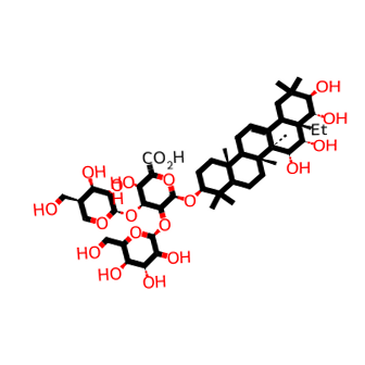 CC[C@@]12C(CC(C)(C)[C@@H](O)[C@@H]1O)C1=CCC3[C@@]4(C)CC[C@H](O[C@@H]5OC(C(=O)O)[C@@H](O)[C@@H](O[C@@H]6OC[C@@H](CO)[C@@H](O)C6O)C5O[C@@H]5OC(CO)[C@H](O)[C@@H](O)C5O)C(C)(C)C4CC[C@@]3(C)[C@]1(C)[C@@H](O)[C@H]2O